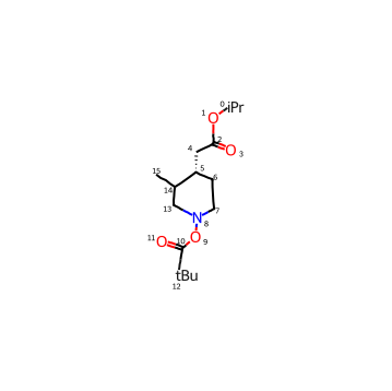 CC(C)OC(=O)C[C@@H]1CCN(OC(=O)C(C)(C)C)CC1C